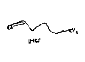 CCCCC=O.Cl